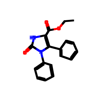 CCOC(=O)c1[nH]c(=O)n(-c2ccccc2)c1-c1ccccc1